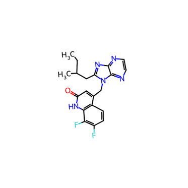 CCC(C)Cc1nc2nccnc2n1Cc1cc(=O)[nH]c2c(F)c(F)ccc12